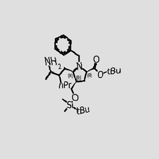 CCCC(C[C@@H]1[C@H](CO[Si](C)(C)C(C)(C)C)C[C@H](C(=O)OC(C)(C)C)N1Cc1ccccc1)C(C)N